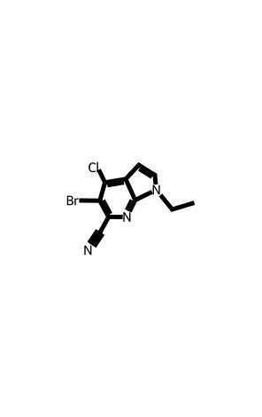 CCn1ccc2c(Cl)c(Br)c(C#N)nc21